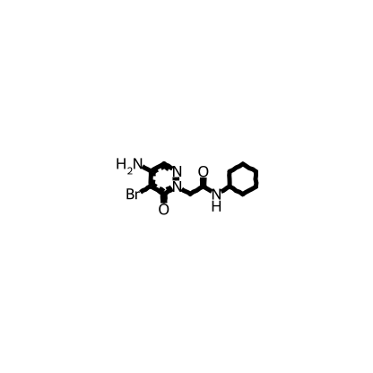 Nc1cnn(CC(=O)NC2CCCCC2)c(=O)c1Br